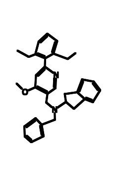 CCc1cccc(CC)c1-c1cc(OC)c(CN(Cc2ccccc2)C2Cc3ccccc3C2)cn1